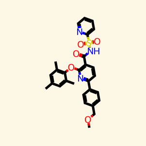 COCc1ccc(-c2ccc(C(=O)NS(=O)(=O)c3ccccn3)c(Oc3c(C)cc(C)cc3C)n2)cc1